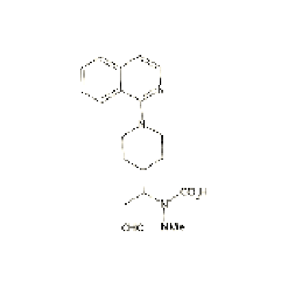 CNN(C(=O)O)C(CC=O)C1CCN(c2nccc3ccccc23)CC1